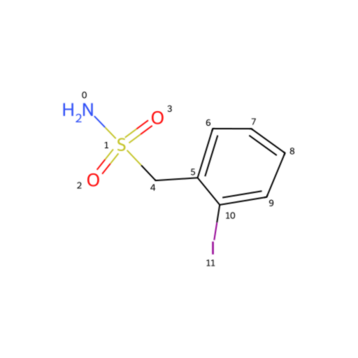 NS(=O)(=O)Cc1ccccc1I